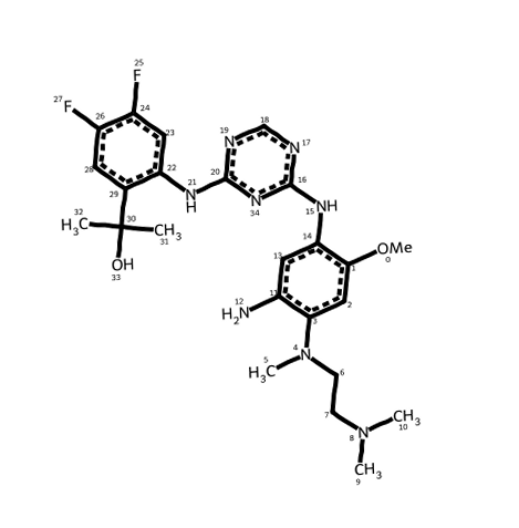 COc1cc(N(C)CCN(C)C)c(N)cc1Nc1ncnc(Nc2cc(F)c(F)cc2C(C)(C)O)n1